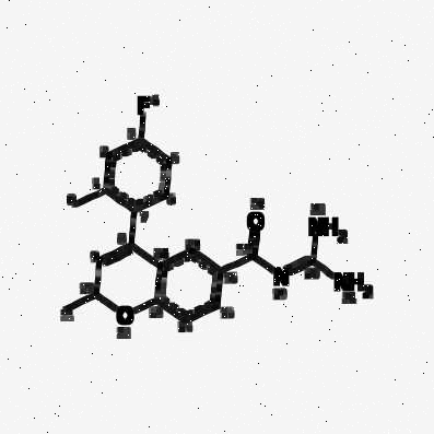 Cc1cc(F)ccc1C1=CC(C)Oc2ccc(C(=O)N=C(N)N)cc21